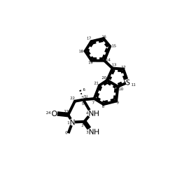 CN1C(=N)N[C@](C)(c2ccc3scc(-c4ccccc4)c3c2)CC1=O